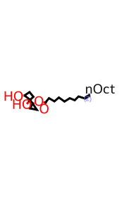 CCCCCCCC/C=C\CCCCCCCC(=O)OC1(C2(O)CCC2O)CC1